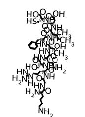 CC[C@@H](C)[C@@H](NC(=O)[C@@H](Cc1ccccc1)NC(=O)[C@H](NC(=O)[C@@H](CC(N)=O)NC(=O)[C@@H](CO)NC(=O)[C@@H](CCCNC(=N)N)NC(=O)CNC(=O)[C@H](N)CCCCN)[C@H](C)O)C(=O)N[C@H](CC(=O)O)C(=O)N[C@H](CS)C(=O)O